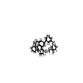 FC1(F)CCN(Cc2cncc(-c3cc(C4NC=CN4N4CCCCC4)c4[nH]ncc4c3)c2)C1